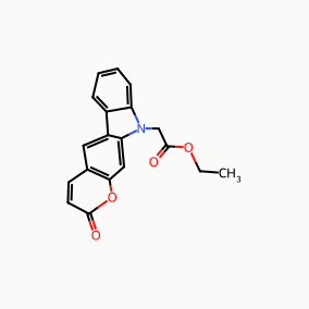 CCOC(=O)Cn1c2ccccc2c2cc3ccc(=O)oc3cc21